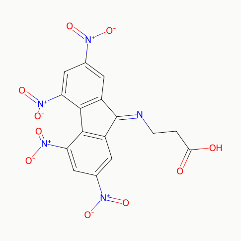 O=C(O)CCN=C1c2cc([N+](=O)[O-])cc([N+](=O)[O-])c2-c2c1cc([N+](=O)[O-])cc2[N+](=O)[O-]